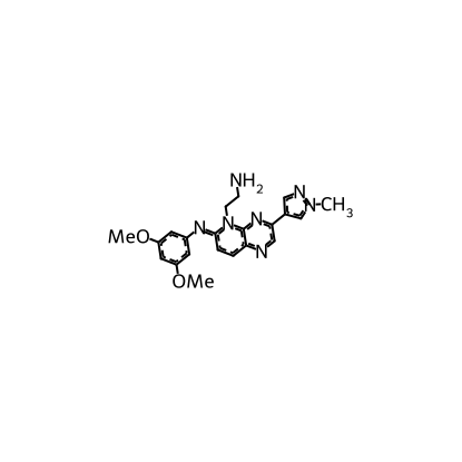 COc1cc(/N=c2\ccc3ncc(-c4cnn(C)c4)nc3n2CCN)cc(OC)c1